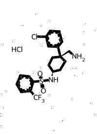 Cl.NC[C@]1(c2cccc(Cl)c2)CC[C@@H](NS(=O)(=O)c2ccccc2C(F)(F)F)CC1